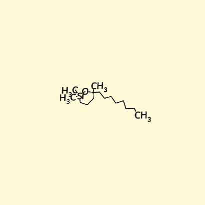 CCCCCCCCC1(C)CCC[Si](C)(C)O1